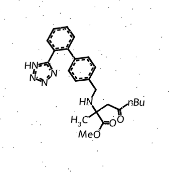 CCCCC(=O)CC(C)(NCc1ccc(-c2ccccc2-c2nnn[nH]2)cc1)C(=O)OC